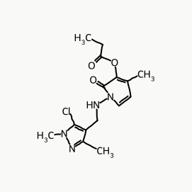 CCC(=O)Oc1c(C)ccn(NCc2c(C)nn(C)c2Cl)c1=O